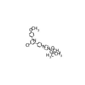 COc1ccc(-c2cc(Cl)cc(-c3ccc(N4CCN(C(=O)OC(C)(C)C)CC4)cc3)n2)cc1